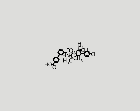 CC(C)[C@@H](NC(=O)c1cccc(-c2ccc(C(=O)O)cc2)c1)C(=O)N1CCC(c2ccc(Cl)cc2)C(C)(C)C1